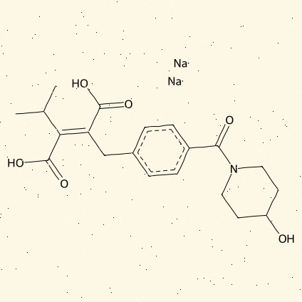 CC(C)C(C(=O)O)=C(Cc1ccc(C(=O)N2CCC(O)CC2)cc1)C(=O)O.[Na].[Na]